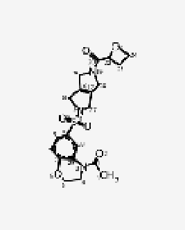 CC(=O)N1CCOc2ccc(S(=O)(=O)N3CC4=C(CN(C(=O)C5CCO5)C4)C3)cc21